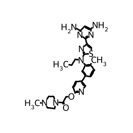 CCCN(c1nc(-c2nc(N)cc(N)n2)cs1)c1cc(-c2ccc(OCC(=O)N3CCN(C)CC3)nc2)ccc1C